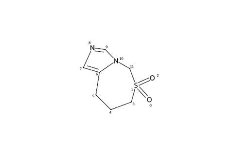 O=S1(=O)CCCc2cncn2C1